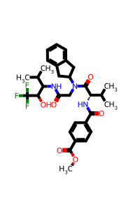 COC(=O)c1ccc(C(=O)N[C@H](C(=O)N(CC(=O)NC(C(C)C)C(O)C(F)(F)F)C2Cc3ccccc3C2)C(C)C)cc1